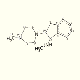 CNC1c2ccccc2CC1N1CCN(C)CC1